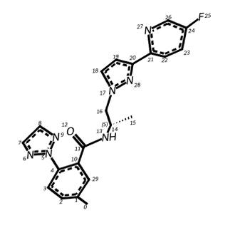 Cc1ccc(-n2nccn2)c(C(=O)N[C@@H](C)Cn2ccc(-c3ccc(F)cn3)n2)c1